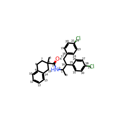 CC(NC(=O)C1(C)CCc2ccccc2C1)C(Cc1ccc(Cl)cc1)c1ccc(Cl)cc1